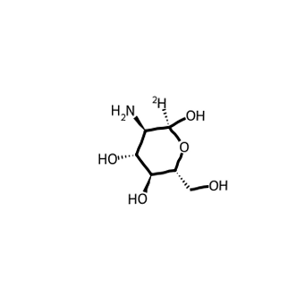 [2H][C@]1(O)O[C@H](CO)[C@@H](O)[C@H](O)[C@H]1N